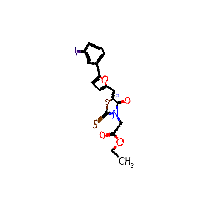 CCOC(=O)CN1C(=O)/C(=C/c2ccc(-c3cccc(I)c3)o2)SC1=S